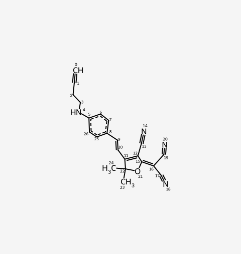 C#CCCNc1ccc(/C=C/C2=C(C#N)C(=C(C#N)C#N)OC2(C)C)cc1